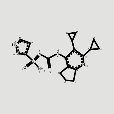 NS(=O)(=NC(=O)Nc1c2c(nc(C3CC3)c1C1CC1)CCC2)c1cc[nH]n1